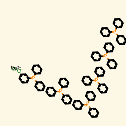 [Cl-].[Cl-].[Ru+2].c1ccc(P(c2ccccc2)c2ccccc2)cc1.c1ccc(P(c2ccccc2)c2ccccc2)cc1.c1ccc(P(c2ccccc2)c2ccccc2)cc1.c1ccc(P(c2ccccc2)c2ccccc2)cc1.c1ccc(P(c2ccccc2)c2ccccc2)cc1.c1ccc(P(c2ccccc2)c2ccccc2)cc1